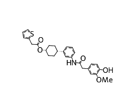 COc1cc(CC(=O)Nc2cccc([C@H]3CC[C@@H](OC(=O)Cc4cccs4)CC3)c2)ccc1O